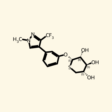 Cn1cc(-c2cccc(O[C@H]3SC[C@@H](O)[C@H](O)[C@H]3O)c2)c(C(F)(F)F)n1